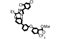 CCC(Oc1ccc(-c2cccc(Oc3ccc(C(F)(F)F)c(C(=O)OC)c3)c2)cc1)c1nc(-c2ccc(Cl)cc2Cl)c[nH]1